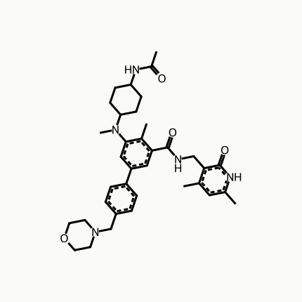 CC(=O)NC1CCC(N(C)c2cc(-c3ccc(CN4CCOCC4)cc3)cc(C(=O)NCc3c(C)cc(C)[nH]c3=O)c2C)CC1